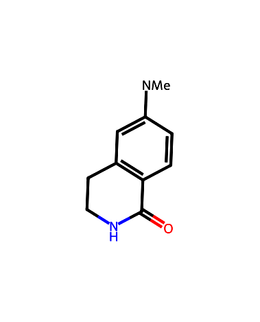 CNc1ccc2c(c1)CCNC2=O